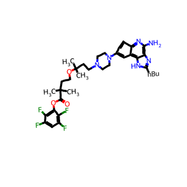 CCCCc1nc2c(N)nc3ccc(N4CCN(CCC(C)(C)OCCC(C)(C)C(=O)Oc5c(F)c(F)cc(F)c5F)CC4)cc3c2[nH]1